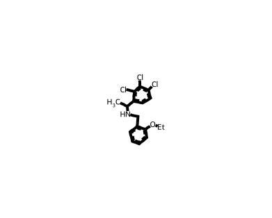 CCOc1ccccc1CNC(C)c1ccc(Cl)c(Cl)c1Cl